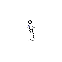 CCCCCCCCCCCCCCCc1ccc(C(=O)/C=C/c2ccccc2)c(O)c1